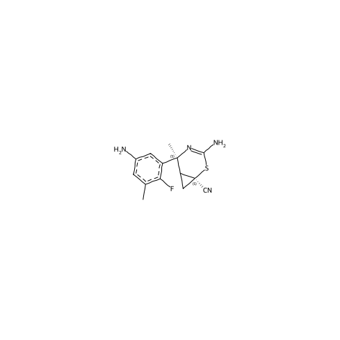 Cc1cc(N)cc([C@@]2(C)N=C(N)S[C@@]3(C#N)CC32)c1F